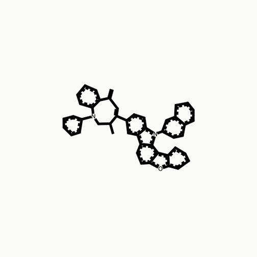 C=C1/C=C(/c2ccc3c(c2)c2ccc4oc5ccccc5c4c2n3-c2ccc3ccccc3c2)C(C)CN(c2ccccc2)c2ccccc21